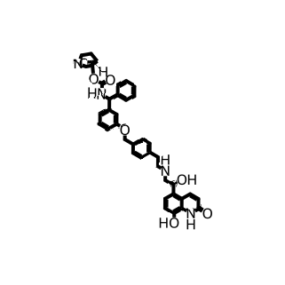 O=C(NC(c1ccccc1)c1cccc(OCc2ccc(CCNC[C@@H](O)c3ccc(O)c4[nH]c(=O)ccc34)cc2)c1)O[C@H]1CN2CCC1CC2